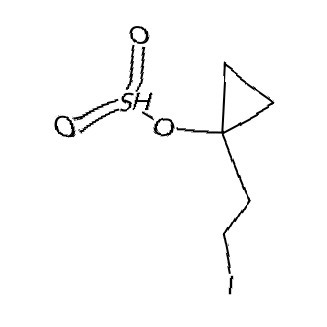 O=[SH](=O)OC1(CCI)CC1